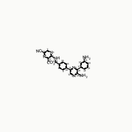 N#Cc1cnc(NCc2ccc(-c3cnc(N)c(-c4cccc(N)c4)n3)cc2)c(C(=O)O)n1